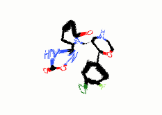 O=c1[nH]c(-c2cccc(=O)n2C[C@@H]2CNCCO[C@H]2c2ccc(Cl)c(F)c2)no1